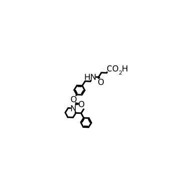 CC(c1ccccc1)C1CCCCN1C(=O)Oc1ccc(CCNC(=O)CCC(=O)O)cc1